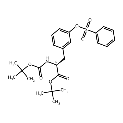 CC(C)(C)OC(=O)N[C@@H](Cc1cccc(OS(=O)(=O)c2ccccc2)c1)C(=O)OC(C)(C)C